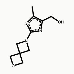 Cc1sc(N2CC3(COC3)C2)nc1CO